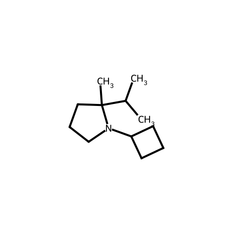 CC(C)C1(C)CCCN1C1CCC1